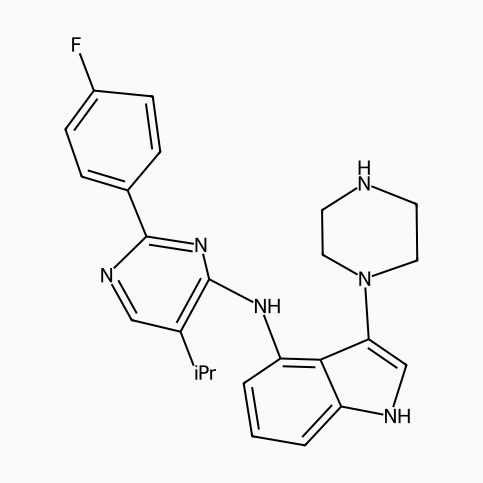 CC(C)c1cnc(-c2ccc(F)cc2)nc1Nc1cccc2[nH]cc(N3CCNCC3)c12